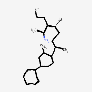 CC[C@H](CCC(C)C1CCC(C2CCCCC2)CC1C)C(CCC(C)C)C(C)N